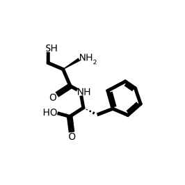 N[C@H](CS)C(=O)N[C@H](Cc1ccccc1)C(=O)O